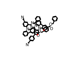 N#Cc1ccc(-c2ccc(-n3c4ccccc4c4cc(C(=O)OCc5ccccc5)ccc43)c(-c3nc(-c4ccccc4)nc(-c4cc(C#N)ccc4-n4c5ccccc5c5cc(C(=O)OCc6ccccc6)ccc54)n3)c2)cc1